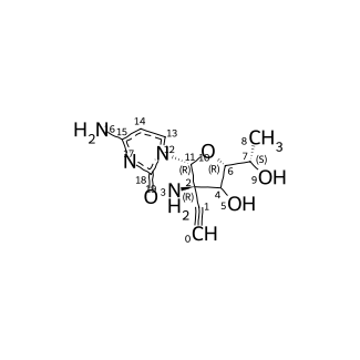 C#C[C@@]1(N)C(O)[C@@H]([C@H](C)O)O[C@H]1n1ccc(N)nc1=O